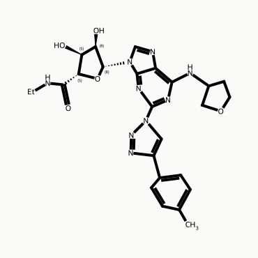 CCNC(=O)[C@H]1O[C@@H](n2cnc3c(NC4CCOC4)nc(-n4cc(-c5ccc(C)cc5)nn4)nc32)[C@H](O)[C@@H]1O